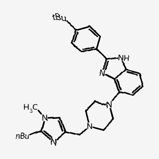 CCCCc1nc(CN2CCN(c3cccc4[nH]c(-c5ccc(C(C)(C)C)cc5)nc34)CC2)cn1C